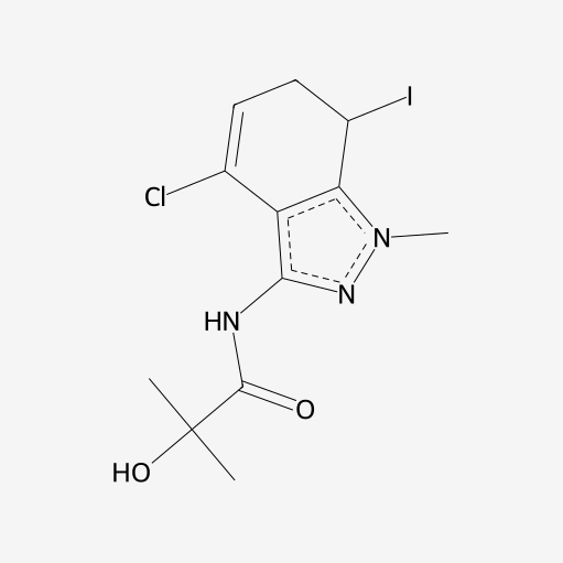 Cn1nc(NC(=O)C(C)(C)O)c2c1C(I)CC=C2Cl